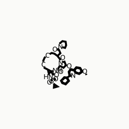 COc1ccc2c(OC3CC4C(=O)NC5(C(=O)NS(=O)(=O)C6CC6)CC5CCCCCCCC(CC(=O)N5CCCCC5)C(=O)N4C3)cc(-c3ccccc3)nc2c1